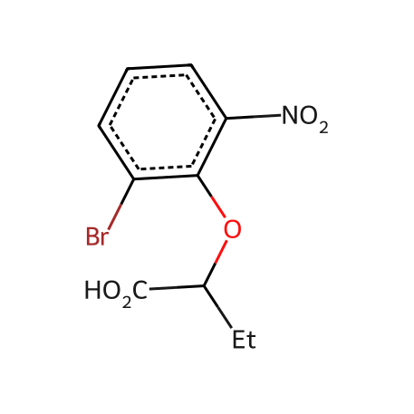 CCC(Oc1c(Br)cccc1[N+](=O)[O-])C(=O)O